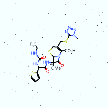 CO[C@]1(NC(=O)C(NC(=O)NCC(F)(F)F)c2cccs2)C(=O)N2C(C(=O)O)=C(CSc3nnnn3C)CSC21